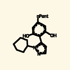 CCCCCc1cc(O)c(-c2ccnn2C2CCCCC2)c(O)c1